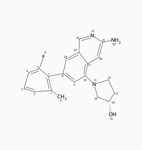 Cc1cccc(F)c1-c1cc(N2CC[C@H](O)C2)c2cc(N)ncc2c1